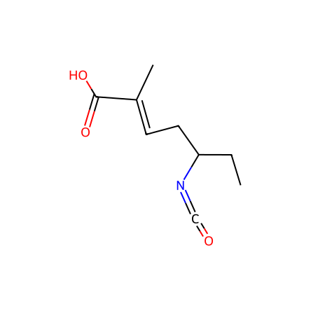 CCC(C/C=C(\C)C(=O)O)N=C=O